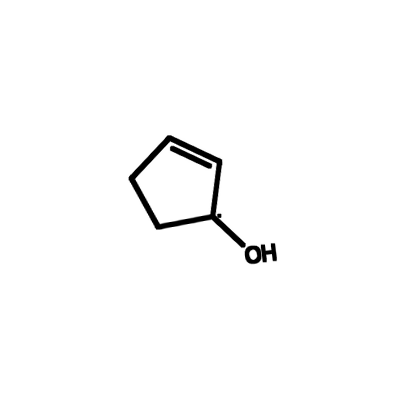 O[C]1C=CCC1